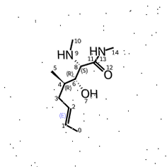 C/C=C/C[C@@H](C)[C@@H](O)[C@H](NC)C(=O)NC